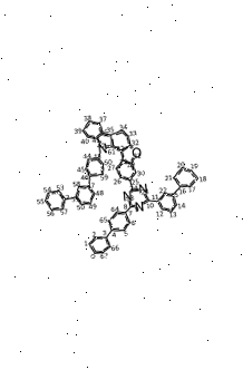 c1ccc(-c2ccc(-c3nc(-c4cccc(-c5ccccc5)c4)nc(-c4ccc5c(c4)oc4ccc6c7ccccc7n(-c7ccc(-c8cccc(-c9ccccc9)c8)cc7)c6c45)n3)cc2)cc1